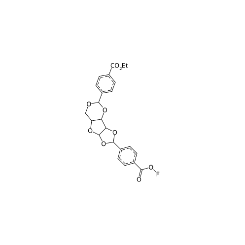 CCOC(=O)c1ccc(C2OCC3OC4OC(c5ccc(C(=O)OF)cc5)OC4C3O2)cc1